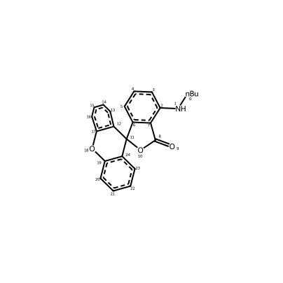 CCCCNc1cccc2c1C(=O)OC21c2ccccc2Oc2ccccc21